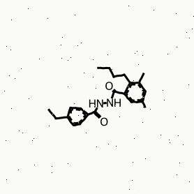 CCCCc1c(C)cc(C)cc1C(=O)NNC(=O)c1ccc(CC)cc1